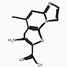 Cc1cc2nccn2c2sc(C(=O)O)c(N)c12